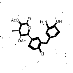 CC[C@H]1O[C@@H](c2ccc(Cl)c(Cc3ccc(O)c(N)c3)c2)[C@H](OC(C)=O)[C@@H](C)C1OC(C)=O